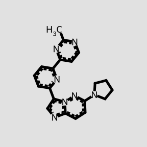 Cc1nccc(-c2cccc(-c3cnc4ccc(N5CCCC5)nn34)n2)n1